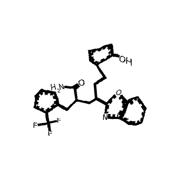 NC(=O)C(Cc1ccccc1C(F)(F)F)CC(CCc1ccccc1O)c1nc2ccccc2o1